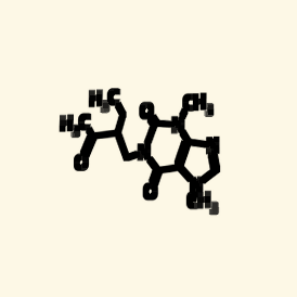 CCC(Cn1c(=O)c2c(ncn2C)n(C)c1=O)C(C)=O